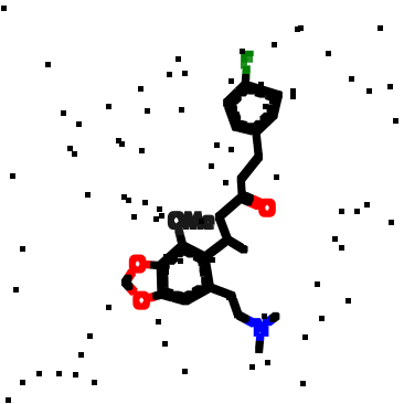 COc1c2c(cc(CCN(C)C)c1C(C)CC(=O)CCc1ccc(F)cc1)OCO2